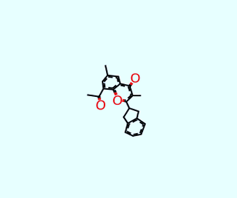 CC(=O)c1cc(C)cc2c(=O)c(C)c(C3Cc4ccccc4C3)oc12